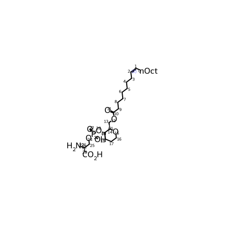 CCCCCCCC/C=C\CCCCCCCC(=O)OC[C@H]1OCCC[C@@H]1OP(=O)(O)OC[C@H](N)C(=O)O